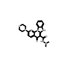 CN(C)NC(=O)c1c(=O)c2ccc(N3CCOCC3)nc2n2c1[nH]c1ccccc12